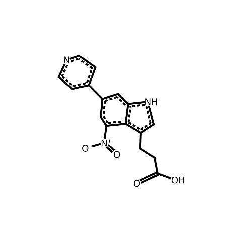 O=C(O)CCc1c[nH]c2cc(-c3ccncc3)cc([N+](=O)[O-])c12